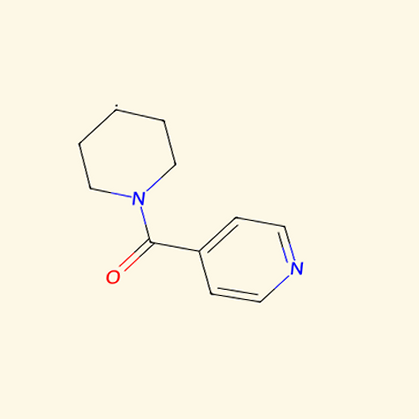 O=C(c1ccncc1)N1CC[CH]CC1